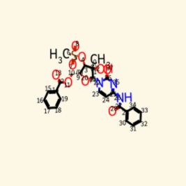 C[C@]1(O)C(OS(C)(=O)=O)[C@@H](COC(=O)c2ccccc2)O[C@H]1n1ccc(NC(=O)c2ccccc2)nc1=O